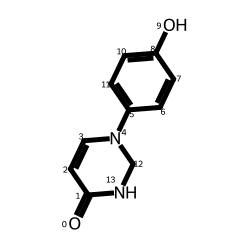 O=C1C=CN(c2ccc(O)cc2)CN1